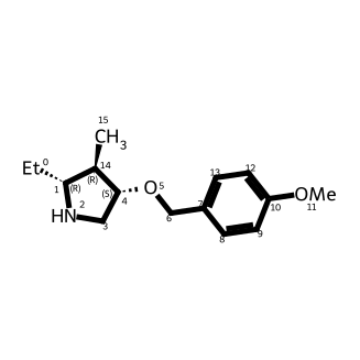 CC[C@H]1NC[C@@H](OCc2ccc(OC)cc2)[C@@H]1C